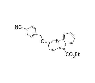 CCOC(=O)c1c2ccccc2n2cc(OCc3ccc(C#N)cc3)ccc12